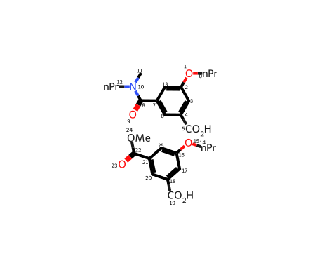 CCCOc1cc(C(=O)O)cc(C(=O)N(C)CCC)c1.CCCOc1cc(C(=O)O)cc(C(=O)OC)c1